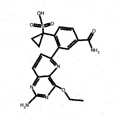 CCOc1nc(N)nc2ccc(-c3cc(C(N)=O)ccc3C3(S(=O)(=O)O)CC3)nc12